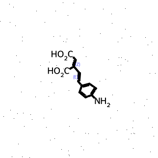 Nc1ccc(/C=C/C(=C/C(=O)O)C(=O)O)cc1